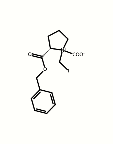 O=C(OCc1ccccc1)[C@@H]1CCC[N+]1(CI)C(=O)[O-]